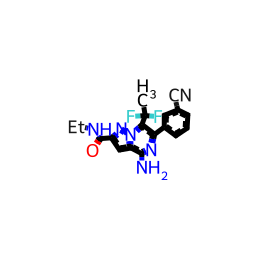 CCNC(=O)c1cc2c(N)nc(-c3cccc(C#N)c3)c(C(C)(F)F)n2n1